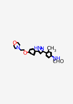 Cc1cc(NC=O)ccc1-c1cc(-c2ccc(OCCN3CCOCC3)cc2)[nH]n1